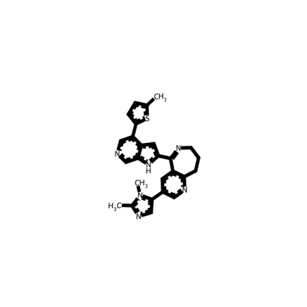 Cc1ccc(-c2cncc3[nH]c(C4=NCCCc5ncc(-c6cnc(C)n6C)cc54)cc23)s1